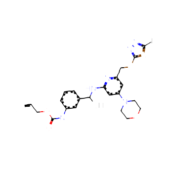 C=CCOC(=O)Nc1cccc(C(C)Nc2cc(N3CCOCC3)cc(CSc3nnc(CC)s3)n2)c1